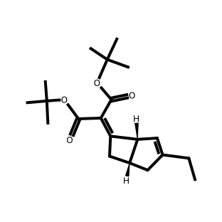 CCC1=C[C@H]2C(=C(C(=O)OC(C)(C)C)C(=O)OC(C)(C)C)C[C@H]2C1